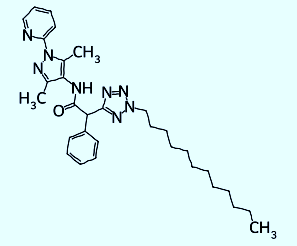 CCCCCCCCCCCCn1nnc(C(C(=O)Nc2c(C)nn(-c3ccccn3)c2C)c2ccccc2)n1